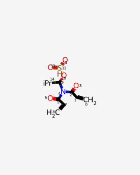 C=CC(=O)N(C(=O)C=C)C(O[SH](=O)=O)C(C)C